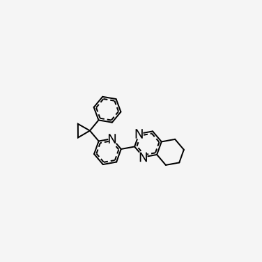 c1ccc(C2(c3cccc(-c4ncc5c(n4)CCCC5)n3)CC2)cc1